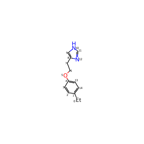 CCc1ccc(OCCc2c[nH]cn2)cc1